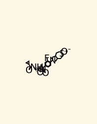 O=C(NC[C@H]1CN(c2ccc(N3CC4CC[S+]([O-])CCC4C3)c(F)c2)C(=O)O1)C1CC1